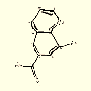 CCC(=O)c1cc(F)c2ncccc2c1